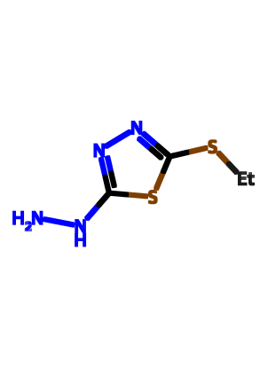 CCSc1nnc(NN)s1